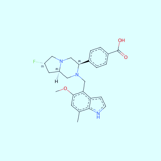 COc1cc(C)c2[nH]ccc2c1CN1C[C@H]2C[C@H](F)CN2C[C@H]1c1ccc(C(=O)O)cc1